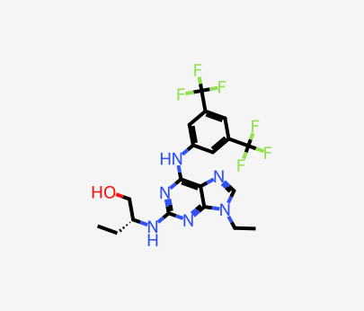 CC[C@H](CO)Nc1nc(Nc2cc(C(F)(F)F)cc(C(F)(F)F)c2)c2ncn(CC)c2n1